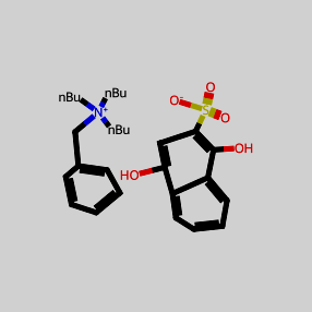 CCCC[N+](CCCC)(CCCC)Cc1ccccc1.O=S(=O)([O-])c1cc(O)c2ccccc2c1O